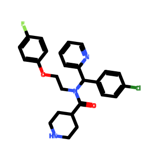 O=C(C1CCNCC1)N(CCOc1ccc(F)cc1)C(c1ccc(Cl)cc1)c1ccccn1